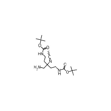 CC(C)(C)OC(=O)NCCC(CN)(CCNC(=O)OC(C)(C)C)N=C=S